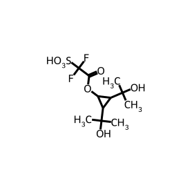 CC(C)(O)C1C(OC(=O)C(F)(F)S(=O)(=O)O)C1C(C)(C)O